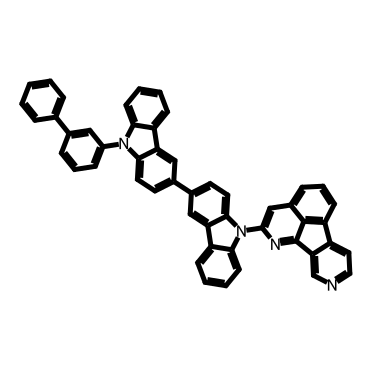 c1ccc(-c2cccc(-n3c4ccccc4c4cc(-c5ccc6c(c5)c5ccccc5n6-c5cc6cccc7c6c(n5)-c5cnccc5-7)ccc43)c2)cc1